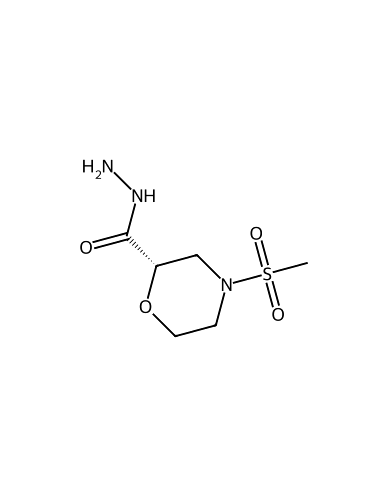 CS(=O)(=O)N1CCO[C@H](C(=O)NN)C1